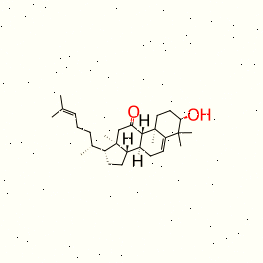 CC(C)=CCC[C@@H](C)[C@H]1CC[C@H]2[C@@H]3CC=C4C(C)(C)[C@H](O)CC[C@]4(C)[C@H]3C(=O)C[C@]12C